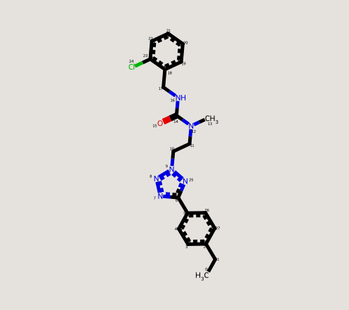 CCc1ccc(-c2nnn(CCN(C)C(=O)NCc3ccccc3Cl)n2)cc1